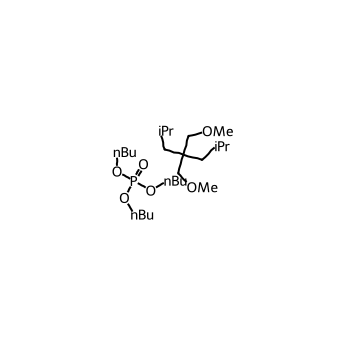 CCCCOP(=O)(OCCCC)OCCCC.COCC(COC)(CC(C)C)CC(C)C